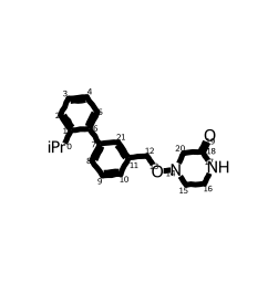 CC(C)c1ccccc1-c1cccc(CON2CCNC(=O)C2)c1